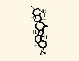 CC1=C2C[C@H]3[C@@H](CC[C@@H]4C[C@H](N(C)C)CC[C@@]43C)[C@@H]2CC[C@@]2(C1)O[C@@H]1C[C@H](C)CN[C@H]1[C@H]2C